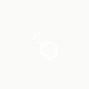 [CH2]CC(C)Nc1ccccc1